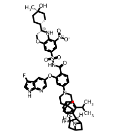 CC(C)c1ccccc1[C@H]1C2CC(C[C@H]1N1CC3(CCN(c4ccc(C(=O)NS(=O)(=O)c5cc6c(c([N+](=O)[O-])c5)N[C@@H]([C@H]5CC[C@](C)(O)CC5)CO6)c(Oc5cnc6[nH]cc(F)c6c5)c4)CC3)C1)N2C